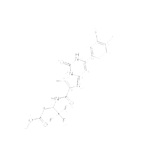 COC(=O)CC(NC(=O)c1nc2cc(-c3ccc(C)c(F)c3)[nH]c(=O)n2c1C)C(F)(F)F